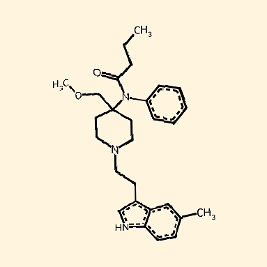 CCCC(=O)N(c1ccccc1)C1(COC)CCN(CCc2c[nH]c3ccc(C)cc23)CC1